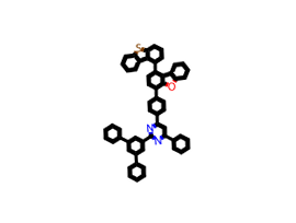 c1ccc(-c2cc(-c3ccccc3)cc(-c3nc(-c4ccccc4)cc(-c4ccc(-c5ccc(-c6cccc7sc8ccccc8c67)c6c5oc5ccccc56)cc4)n3)c2)cc1